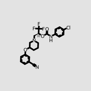 N#Cc1cccc(OC2CCCN(C[C@H](OC(=O)Nc3ccc(Cl)cc3)C(F)(F)F)C2)c1